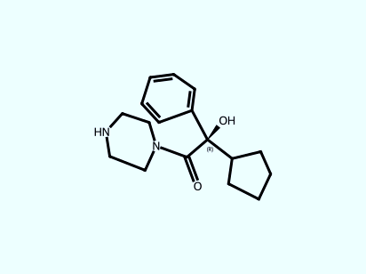 O=C(N1CCNCC1)[C@](O)(c1ccccc1)C1CCCC1